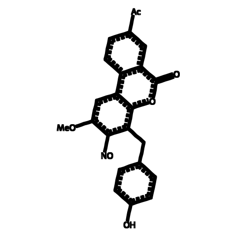 COc1cc2c(oc(=O)c3cc(C(C)=O)ccc32)c(Cc2ccc(O)cc2)c1N=O